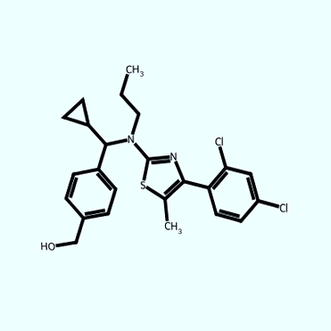 CCCN(c1nc(-c2ccc(Cl)cc2Cl)c(C)s1)C(c1ccc(CO)cc1)C1CC1